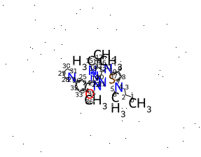 CCCCN(CC)c1ccc(/N=C2/C(C(C)(C)C)=Nn3c2nnc3-c2cc(N3CCCC3)ccc2OC)s1